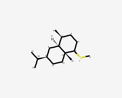 CSC1CC[C@H](C)[C@@H]2C[C@H](C(C)C)CC[C@@]12C